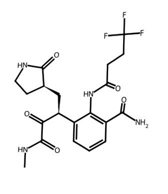 CNC(=O)C(=O)[C@@H](C[C@H]1CCNC1=O)c1cccc(C(N)=O)c1NC(=O)CCC(F)(F)F